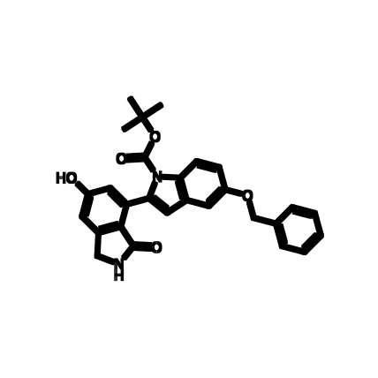 CC(C)(C)OC(=O)n1c(-c2cc(O)cc3c2C(=O)NC3)cc2cc(OCc3ccccc3)ccc21